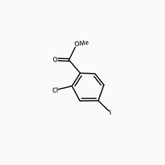 COC(=O)c1ccc(I)cc1Cl